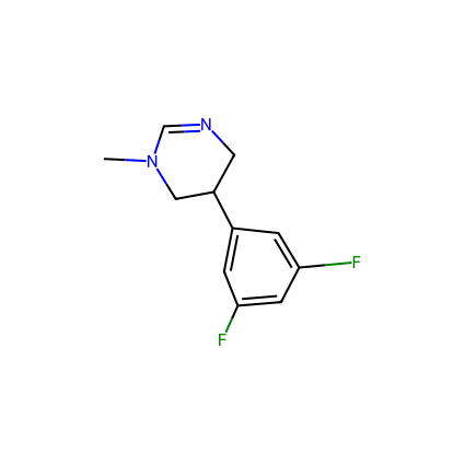 CN1C=NCC(c2cc(F)cc(F)c2)C1